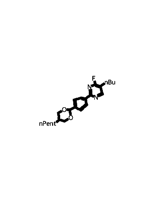 CCCCCC1COC(c2ccc(-c3ncc(CCCC)c(F)n3)cc2)OC1